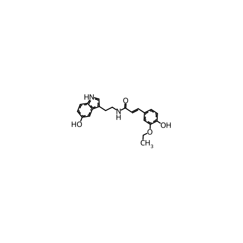 CCOc1cc(/C=C/C(=O)NCCc2c[nH]c3ccc(O)cc23)ccc1O